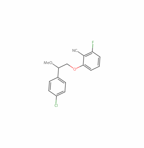 COC(COc1cccc(F)c1C#N)c1ccc(Cl)cc1